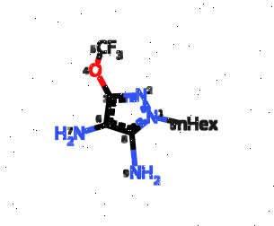 CCCCCCn1nc(OC(F)(F)F)c(N)c1N